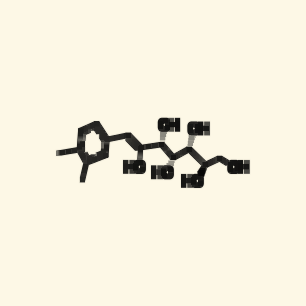 Cc1ccc(C=C(O)[C@H](O)[C@@H](O)[C@H](O)[C@H](O)CO)cc1C